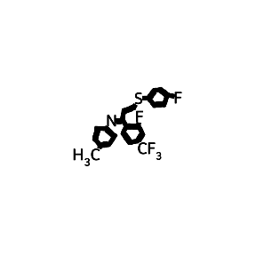 Cc1ccc(N=C(C=CSc2ccc(F)cc2)c2ccc(C(F)(F)F)cc2F)cc1